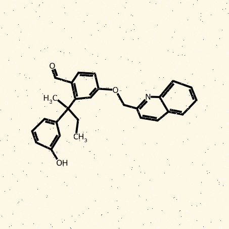 CCC(C)(c1cccc(O)c1)c1cc(OCc2ccc3ccccc3n2)ccc1C=O